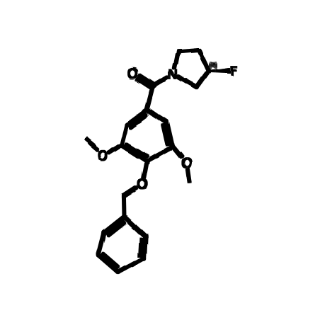 COc1cc(C(=O)N2CC[C@@H](F)C2)cc(OC)c1OCc1ccccc1